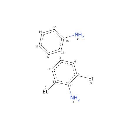 CCc1cccc(CC)c1N.Nc1ccccc1